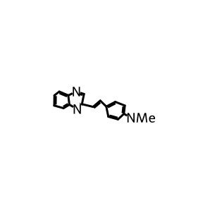 CNc1ccc(/C=C/c2cnc3ccccc3n2)cc1